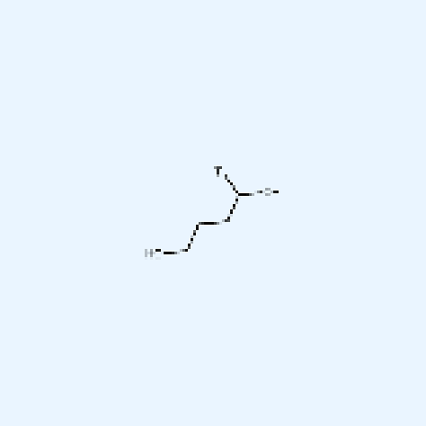 OCCC[CH](O)[Ti]